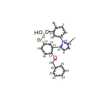 Cc1ccc(-n2c(C)ccc2-c2cc(Br)ccc2OCc2ccccc2)cc1C(=O)O